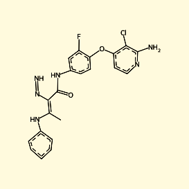 C/C(Nc1ccccc1)=C(/N=N)C(=O)Nc1ccc(Oc2ccnc(N)c2Cl)c(F)c1